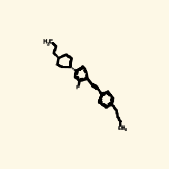 CCCCc1ccc(C#Cc2ccc([C@H]3CC[C@H](CCC)CC3)cc2F)cc1